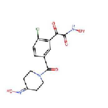 O=C(NO)C(=O)c1cc(C(=O)N2CCC(=NO)CC2)ccc1Cl